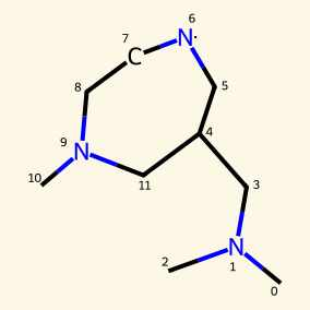 CN(C)CC1C[N]CCN(C)C1